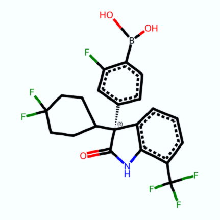 O=C1Nc2c(C(F)(F)F)cccc2[C@]1(c1ccc(B(O)O)c(F)c1)C1CCC(F)(F)CC1